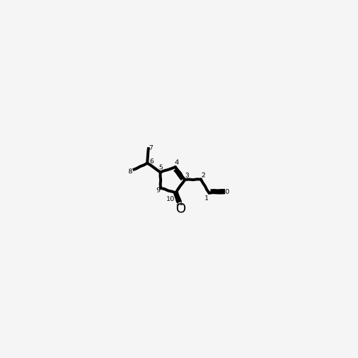 C=CCC1=CC(C(C)C)CC1=O